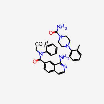 Cc1ccccc1N1CCN(C(N)=O)CC1.Nc1nccc2ccc(C(=O)N(CC(=O)O)c3ccccc3)cc12